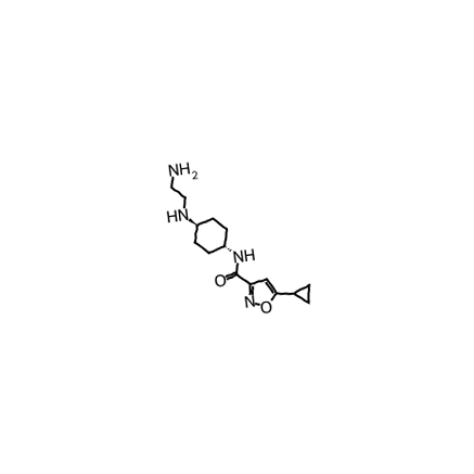 NCCN[C@H]1CC[C@H](NC(=O)c2cc(C3CC3)on2)CC1